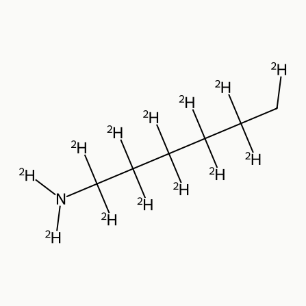 [2H]CC([2H])([2H])C([2H])([2H])C([2H])([2H])C([2H])([2H])C([2H])([2H])N([2H])[2H]